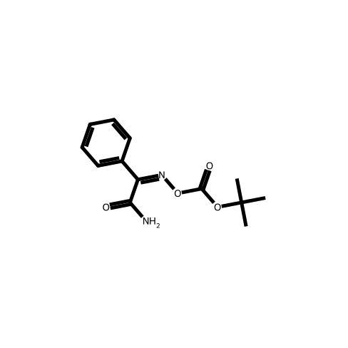 CC(C)(C)OC(=O)ON=C(C(N)=O)c1ccccc1